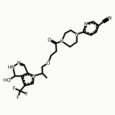 CC(COCCC(=O)N1CCN(c2ccc(C#N)cn2)CC1)n1cc(C(F)(F)F)c2c1C=NNC2O